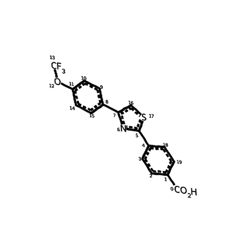 O=C(O)c1ccc(-c2nc(-c3ccc(OC(F)(F)F)cc3)cs2)cc1